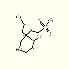 [2H]N1CCNCC1(CCO)CCS(=O)(=O)O